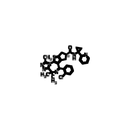 Cc1nnc2n1-c1sc3c(c1C(c1ccccc1Cl)=NC2(C)C)C[C@H](C(=O)NC1(c2ccccn2)CC1)C3